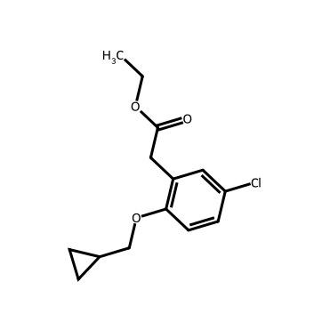 CCOC(=O)Cc1cc(Cl)ccc1OCC1CC1